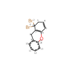 BrC1(Br)CC=CC2=C1Cc1ccccc1O2